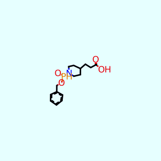 O=C(O)CCC1CCN([PH](=O)OCc2ccccc2)CC1